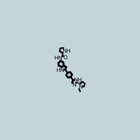 CCN1CCC[C@H]1c1ncc(-c2ccc(-c3cc4cc(NC(=O)C5CCCN5)ccc4[nH]3)cc2)[nH]1